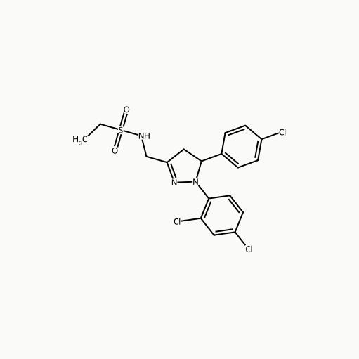 CCS(=O)(=O)NCC1=NN(c2ccc(Cl)cc2Cl)C(c2ccc(Cl)cc2)C1